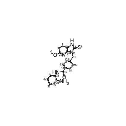 COc1ccc2[nH]c(=S)n(Cc3ccc(C(=O)Nc4ccccc4N)cc3)c2n1